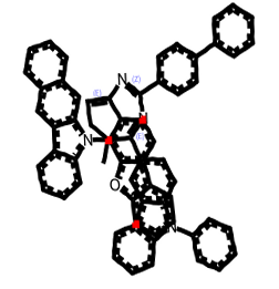 CC1C/C=C(c2ccc3c(oc4ccccc43)c2-n2c3ccccc3c3cc4ccccc4cc32)/N=C(c2ccc(-c3ccccc3)cc2)\N=C/1c1ccc2c(c1)c1ccccc1n2-c1ccccc1